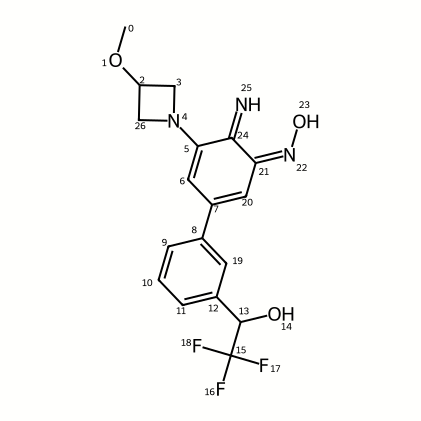 COC1CN(C2=CC(c3cccc(C(O)C(F)(F)F)c3)=C/C(=N/O)C2=N)C1